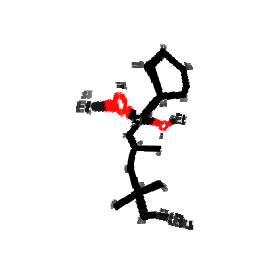 CCO[Si](CC(C)CC(C)(C)CC(C)(C)C)(OCC)C1CCCC1